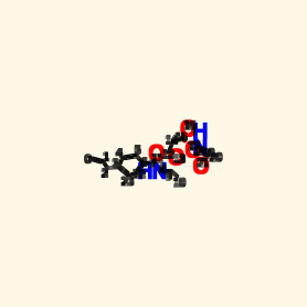 C=CCc1ccc(C(NCC)OC(=O)CC(=O)ONC(C)=O)cc1